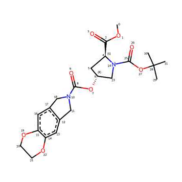 COC(=O)[C@@H]1C[C@@H](OC(=O)N2Cc3cc4c(cc3C2)OCCO4)CN1C(=O)OC(C)(C)C